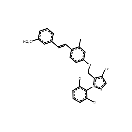 Cc1cc(OCc2c(C(C)C)cnn2-c2c(Cl)cccc2Cl)ccc1C=Cc1cccc(C(=O)O)c1